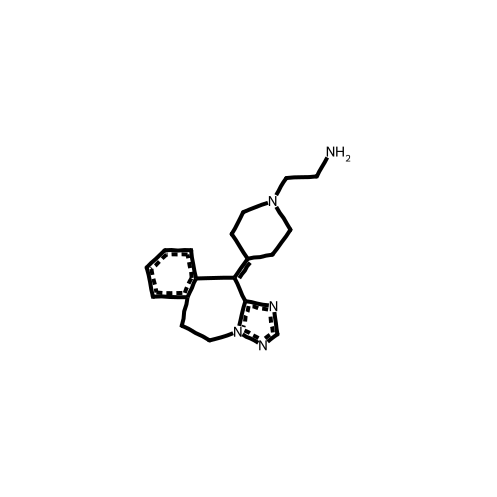 NCCN1CCC(=C2c3ccccc3CCn3ncnc32)CC1